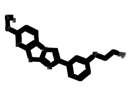 COc1ccc2c(n1)sc1nc(-c3cccc(OCC[18F])c3)cn12